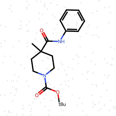 CC(C)(C)OC(=O)N1CCC(C)(C(=O)Nc2ccccc2)CC1